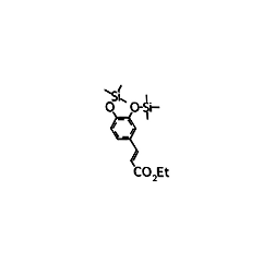 CCOC(=O)/C=C/c1ccc(O[Si](C)(C)C)c(O[Si](C)(C)C)c1